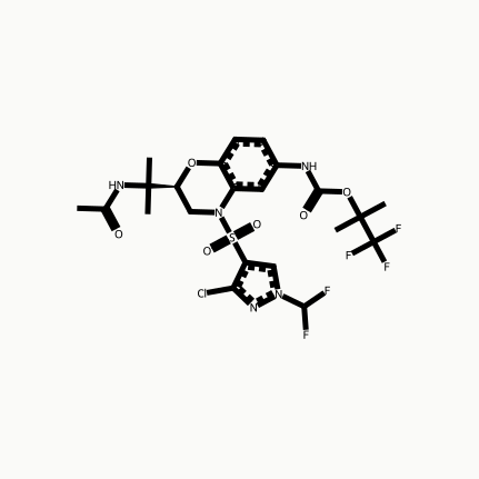 CC(=O)NC(C)(C)[C@@H]1CN(S(=O)(=O)c2cn(C(F)F)nc2Cl)c2cc(NC(=O)OC(C)(C)C(F)(F)F)ccc2O1